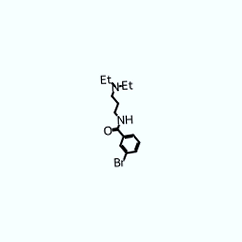 CCN(CC)CCCNC(=O)c1cccc(Br)c1